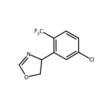 FC(F)(F)c1ccc(Cl)cc1C1CO[C]=N1